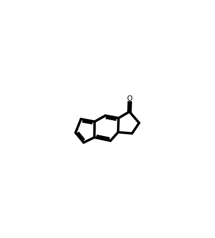 O=C1CCC2C=C3C=CC=C3C=C12